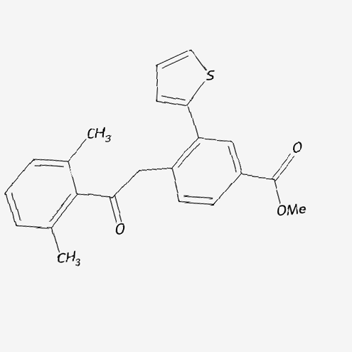 COC(=O)c1ccc(CC(=O)c2c(C)cccc2C)c(-c2cccs2)c1